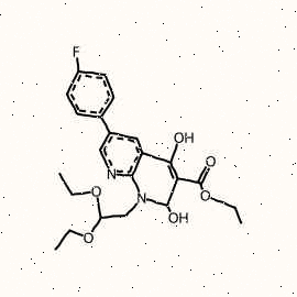 CCOC(=O)C1=C(O)c2cc(-c3ccc(F)cc3)cnc2N(CC(OCC)OCC)C1O